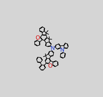 CC1(C)c2cc(N(c3ccc4c(c3)C(C)(C)c3c5c(c6oc7ccccc7c6c3-4)-c3ccccc3C5(C)C)c3ccc4c5ccccc5n(-c5ccccc5)c4c3)ccc2-c2c1cc(-c1ccccc1-c1ccccc1)c1oc3ccccc3c21